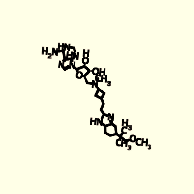 COCC(C)(C)C1CCC2NC(CCC3CC(N(C)C[C@H]4O[C@@H](n5cnc6c5NCNC6N)[C@H](O)[C@@H]4O)C3)N=C2C1